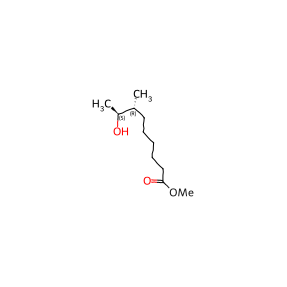 COC(=O)CCCCC[C@@H](C)[C@H](C)O